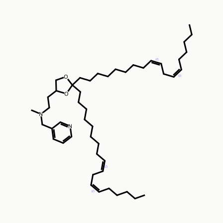 CCCCC/C=C\C/C=C\CCCCCCCCC1(CCCCCCCC/C=C\C/C=C\CCCCC)OCC(CCN(C)Cc2cccnc2)O1